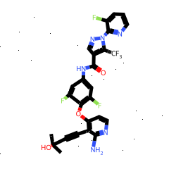 CC(C)(O)C#Cc1c(Oc2c(F)cc(NC(=O)c3cnn(-c4ncccc4F)c3C(F)(F)F)cc2F)ccnc1N